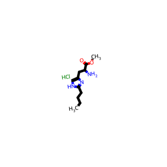 CCCCc1nc(CC(N)C(=O)OC)c[nH]1.Cl